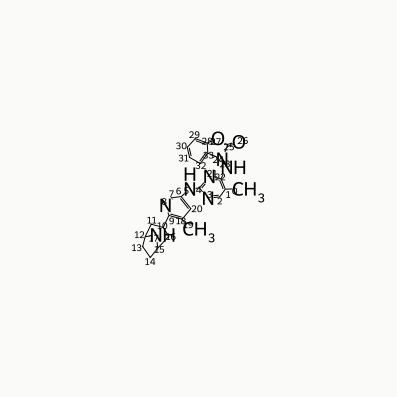 Cc1cnc(Nc2cnc(C3CC4CCC(C3)N4)c(C)c2)nc1Nn1c(=O)oc2ccccc21